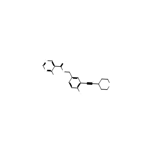 Cc1ncncc1C(=O)NCc1ccc(N)c(C#CC2CCOCC2)c1